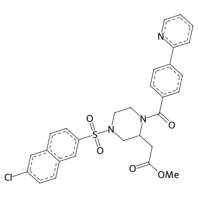 COC(=O)CC1CN(S(=O)(=O)c2ccc3cc(Cl)ccc3c2)CCN1C(=O)c1ccc(-c2ccccn2)cc1